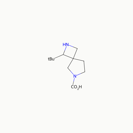 CC(C)(C)C1NCC12CCN(C(=O)O)C2